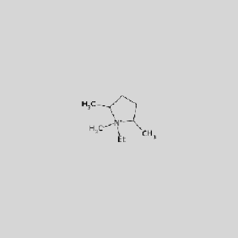 CC[N+]1(C)C(C)CCC1C